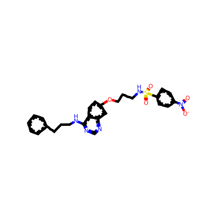 O=[N+]([O-])c1ccc(S(=O)(=O)NCCCOc2ccc3c(NCCCc4ccccc4)ncnc3c2)cc1